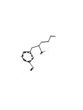 C=Cc1cccc(CC(CCCC)C(=O)O)c1